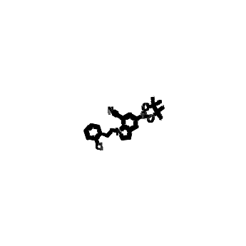 CC1(C)OB(c2cc(C#N)c3c(ccn3CCc3ccccc3Cl)c2)OC1(C)C